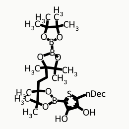 CCCCCCCCCCc1sc(B2OC(C)(C)C(C)(CCC3(C)OB(B4OC(C)(C)C(C)(C)O4)OC3(C)C)O2)c(O)c1O